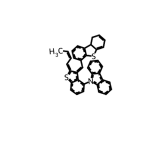 C/C=C\C=c1\sc2cccc(-n3c4ccccc4c4ccccc43)c2c1=Cc1cccc2c1SC1=CC=CCC12